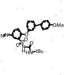 COc1ccc(-c2cccc(Oc3ccc([N+]#N)cc3S(=O)(=O)NC(=O)NC(C)(C)C)c2)cc1